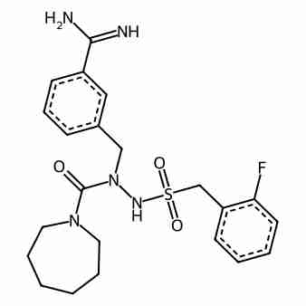 N=C(N)c1cccc(CN(NS(=O)(=O)Cc2ccccc2F)C(=O)N2CCCCCC2)c1